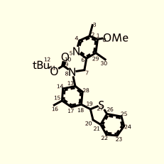 COc1c(C)cnc(CN(C(=O)OC(C)(C)C)c2cc(C)cc(C3Cc4ccccc4S3)c2)c1C